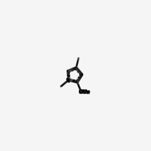 COc1cc(C)cn1C